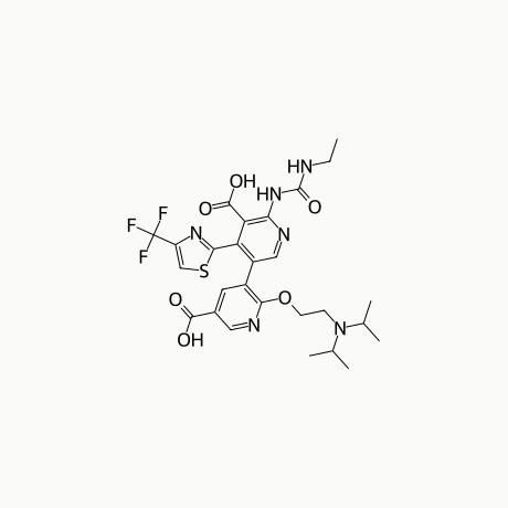 CCNC(=O)Nc1ncc(-c2cc(C(=O)O)cnc2OCCN(C(C)C)C(C)C)c(-c2nc(C(F)(F)F)cs2)c1C(=O)O